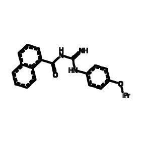 CC(C)Oc1ccc(NC(=N)NC(=O)c2cccc3ccccc23)cc1